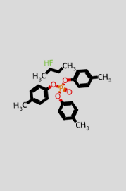 CCCC.Cc1ccc(OP(=O)(Oc2ccc(C)cc2)Oc2ccc(C)cc2)cc1.F